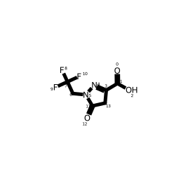 O=C(O)C1=NN(CC(F)(F)F)C(=O)C1